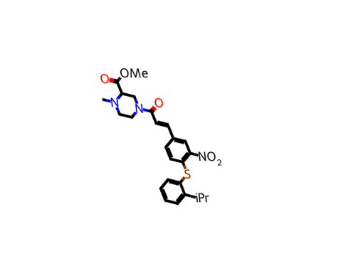 COC(=O)C1CN(C(=O)/C=C/c2ccc(Sc3ccccc3C(C)C)c([N+](=O)[O-])c2)CCN1C